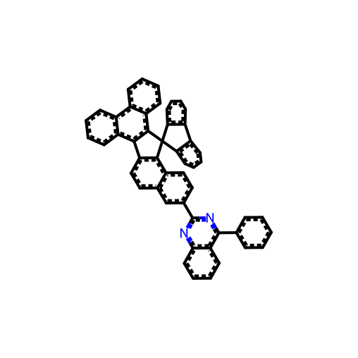 c1ccc(-c2nc(-c3ccc4c5c(ccc4c3)-c3c(c4ccccc4c4ccccc34)C53c4ccccc4-c4ccccc43)nc3ccccc23)cc1